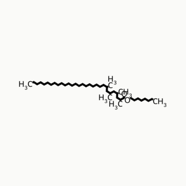 CCCCCCCCCCCCCCCCCCCCCCC(C)CC(C)CC(C)CC(C)C(=O)OCCCCCCCC